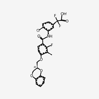 Cc1c(OC[C@@H]2COc3ccccc3O2)ccc(C(=O)Nc2cc(C(F)(F)C(=O)O)ccc2Cl)c1F